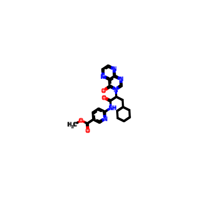 COC(=O)c1ccc(NC(=O)C(CC2CCCCC2)n2cnc3nccnc3c2=O)nc1